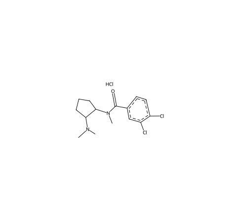 CN(C)C1CCCC1N(C)C(=O)c1ccc(Cl)c(Cl)c1.Cl